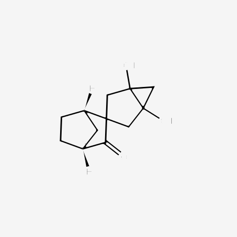 CC12CC3(CC1(C)C2)C(=O)[C@@H]1CC[C@H]3C1